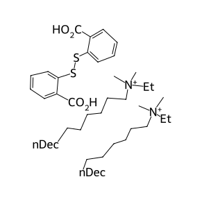 CCCCCCCCCCCCCCCC[N+](C)(C)CC.CCCCCCCCCCCCCCCC[N+](C)(C)CC.O=C(O)c1ccccc1SSc1ccccc1C(=O)O